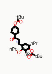 CCCOc1c(/C=C/C(=O)c2ccc(OC(=O)C(C)(C)C)cc2)cc(CCC)c(OC(=O)C(C)(C)C)c1CCC